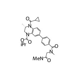 CNC(=O)CN(C)C(=O)c1ccc(-c2ccc3c(c2)N(C(=O)OC(C)C)C[C@H](C)N3C(=O)C2CC2)cc1